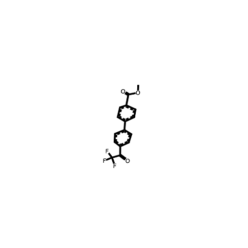 COC(=O)c1ccc(-c2ccc(C(=O)C(F)(F)F)cc2)cc1